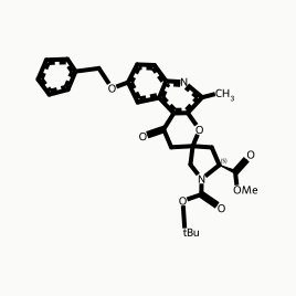 COC(=O)[C@@H]1CC2(CC(=O)c3c(c(C)nc4ccc(OCc5ccccc5)cc34)O2)CN1C(=O)OC(C)(C)C